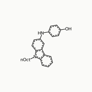 CCCCCCCCn1c2ccccc2c2cc(Nc3ccc(O)cc3)ccc21